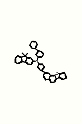 CC1(C)c2ccccc2-c2ccc(N(c3ccc(-c4ccc5ccc6c7ccccc7oc6c5c4)cc3)c3cccc(-c4ccccc4)c3)cc21